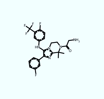 CC1(C)c2nc(-c3cccc(F)c3)c(Nc3ccc(F)c(C(F)(F)F)c3)n2CCN1C(=O)CN